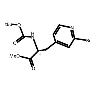 COC(=O)[C@H](Cc1ccnc(Br)c1)NC(=O)OC(C)(C)C